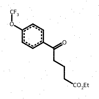 CCOC(=O)CCCC(=O)c1ccc(OC(F)(F)F)cc1